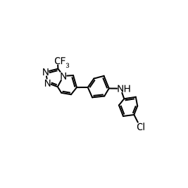 FC(F)(F)c1nnc2ccc(-c3ccc(Nc4ccc(Cl)cc4)cc3)cn12